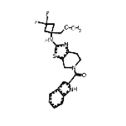 COCC1(Nc2nc3c(s2)CN(C(=O)c2cc4ccccc4[nH]2)CC3)CC(F)(F)C1